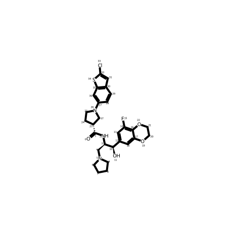 O=C(N[C@H](CN1CCCC1)[C@H](O)c1cc(F)c2c(c1)OCCO2)[C@@H]1CCN(c2ccc3cc(Cl)sc3c2)C1